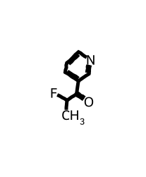 CC(F)C(=O)c1cccnc1